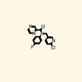 O=C(c1cnccn1)N(Cc1ccc(Cl)nc1)c1ccc(F)cc1